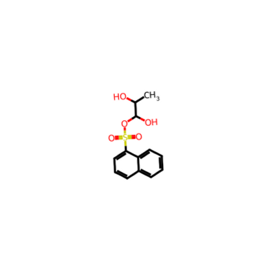 CC(O)C(O)OS(=O)(=O)c1cccc2ccccc12